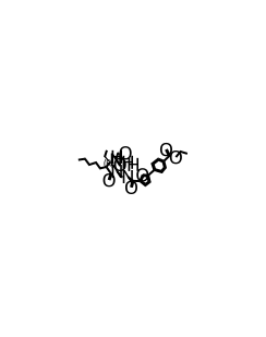 CCCCCC(C(=O)NCNC(=O)c1ccc(-c2ccc(C(=O)OCC)cc2)o1)[C@@H](CC)N(O)C=O